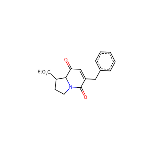 CCOC(=O)C1CCN2C(=O)C(Cc3ccccc3)=CC(=O)C12